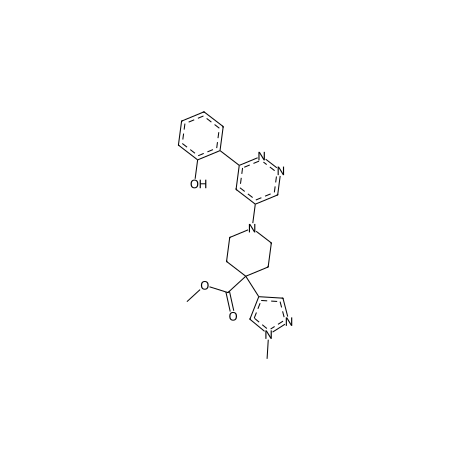 COC(=O)C1(c2cnn(C)c2)CCN(c2cnnc(-c3ccccc3O)c2)CC1